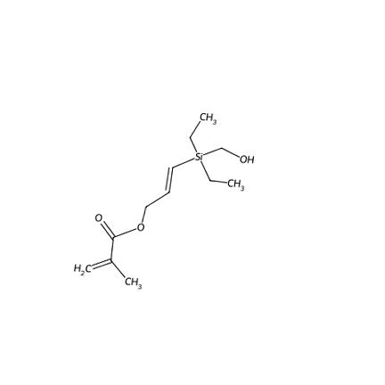 C=C(C)C(=O)OCC=C[Si](CC)(CC)CO